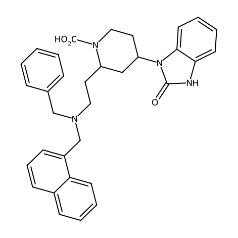 O=C(O)N1CCC(n2c(=O)[nH]c3ccccc32)CC1CCN(Cc1ccccc1)Cc1cccc2ccccc12